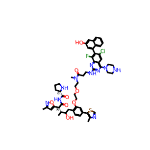 Cc1cc([C@H](C(=O)NC(=O)[C@@H]2CCCN2)C(C)C(O)Cc2ccc(-c3scnc3C)cc2OCCOCCN(C)C(=O)CCNc2nc(N3CCNCC3)c3cc(Cl)c(-c4cc(O)cc5ccccc45)c(F)c3n2)on1